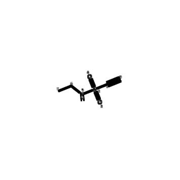 C#CS(=O)(=O)NCC